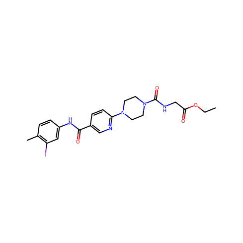 CCOC(=O)CNC(=O)N1CCN(c2ccc(C(=O)Nc3ccc(C)c(I)c3)cn2)CC1